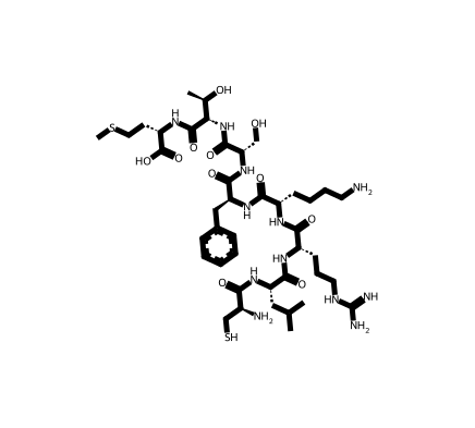 CSCC[C@H](NC(=O)[C@@H](NC(=O)[C@H](CO)NC(=O)[C@H](Cc1ccccc1)NC(=O)[C@H](CCCCN)NC(=O)[C@H](CCCNC(=N)N)NC(=O)[C@H](CC(C)C)NC(=O)[C@@H](N)CS)[C@@H](C)O)C(=O)O